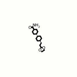 NC(=O)C1CCC([C@H]2CC[C@H](CCC3OCCO3)CC2)CC1